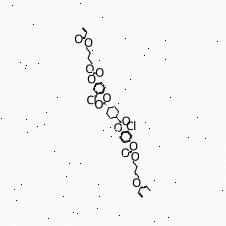 C=CC(=O)OCCCCOC(=O)Oc1ccc(OC(=O)[C@H]2CC[C@H](C(=O)Oc3ccc(OC(=O)OCCCCOC(C=C)=CC)cc3Cl)CC2)c(Cl)c1